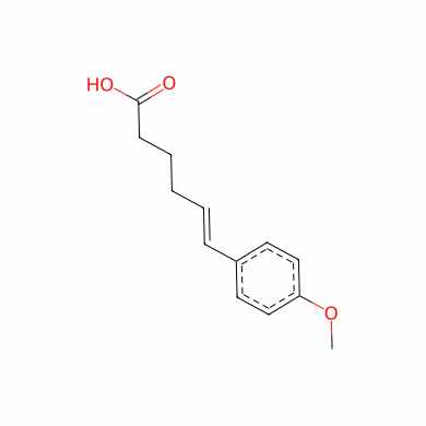 COc1ccc(C=CCCCC(=O)O)cc1